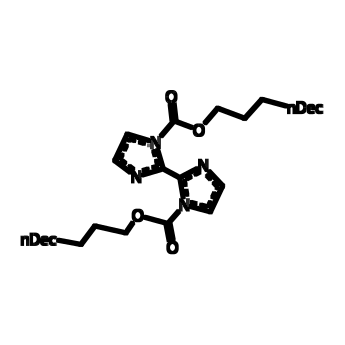 CCCCCCCCCCCCCOC(=O)n1ccnc1-c1nccn1C(=O)OCCCCCCCCCCCCC